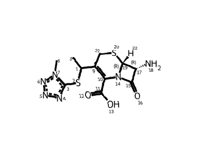 CC(Sc1nnnn1C)C1=C(C(=O)O)N2C(=O)[C@@H](N)[C@H]2SC1